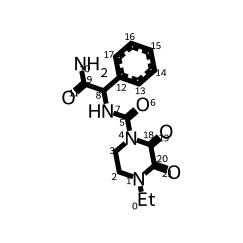 CCN1CCN(C(=O)NC(C(N)=O)c2ccccc2)C(=O)C1=O